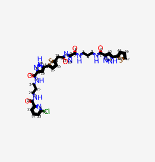 O=C(NCCCNC(=O)c1noc(Cc2ccc(-c3cc(C(=O)NCCCNC(=O)c4cccc(Cl)n4)n[nH]3)s2)n1)c1cc(-c2cccs2)[nH]n1